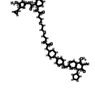 CC(=O)c1c(C)c2cnc(Nc3ccc(N4CCN(CC(=O)NCCOCCOCCC(=O)Nc5ccccc5C(=O)Nc5nc(C6CC6)c(C)s5)CC4)cn3)nc2n(C2CCCC2)c1=O